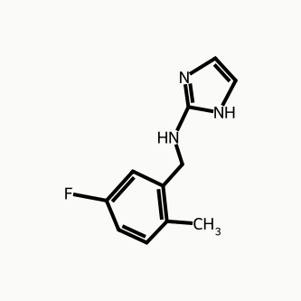 Cc1ccc(F)cc1CNc1ncc[nH]1